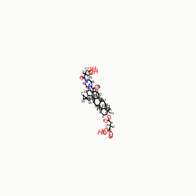 CC(C)(CC(=O)O[C@H]1CC[C@]2(C)[C@H]3CC[C@@H]4[C@H]5[C@H](C6(C)CC6)CC[C@]5(C(=O)N5CCN(C(=O)C(C)(CO)CO)CC5)CC[C@@]4(C)[C@]3(C)CC[C@H]2C1(C)C)C(=O)O